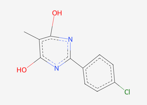 Cc1c(O)nc(-c2ccc(Cl)cc2)nc1O